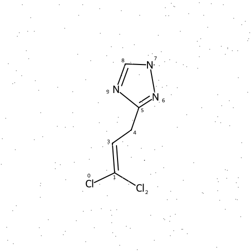 ClC(Cl)=CCC1=N[N]C=N1